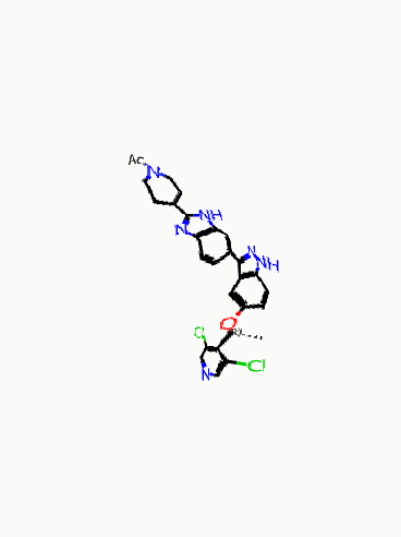 CC(=O)N1CCC(c2nc3ccc(-c4n[nH]c5ccc(O[C@H](C)c6c(Cl)cncc6Cl)cc45)cc3[nH]2)CC1